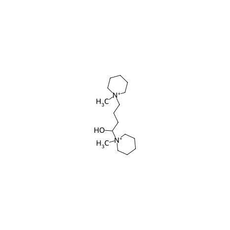 C[N+]1(CCCC(O)[N+]2(C)CCCCC2)CCCCC1